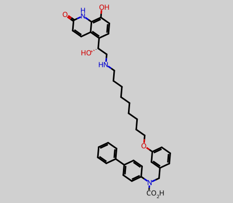 O=C(O)N(Cc1cccc(OCCCCCCCCCNC[C@H](O)c2ccc(O)c3[nH]c(=O)ccc23)c1)c1ccc(-c2ccccc2)cc1